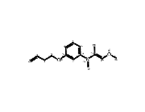 C=CCCOc1cccc(N(C)/C(C)=C/OC)c1